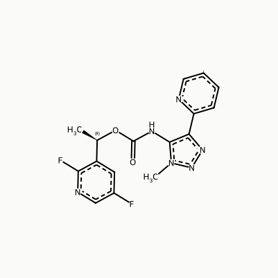 C[C@@H](OC(=O)Nc1c(-c2cc[c]cn2)nnn1C)c1cc(F)cnc1F